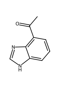 CC(=O)c1cccc2[nH]cnc12